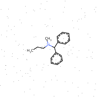 CCCN(C)C(c1ccccc1)c1ccccc1